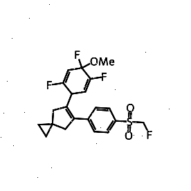 COC1(F)C=C(F)C(C2=C(c3ccc(S(=O)(=O)CF)cc3)CC3(CC3)C2)C=C1F